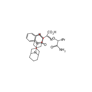 CC(C)C(O/N=C(\C(=O)O)c1nc2ccccc2n(C2CC3CCCC(C2)N3C2CC3CCCC(C3)C2)c1=O)C(N)=O